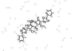 Cc1[nH]c(-c2nnc(-c3ccccc3)o2)c(C)c1C(=O)c1c(C)[nH]c(-c2nnc(-c3ccccc3)o2)c1C